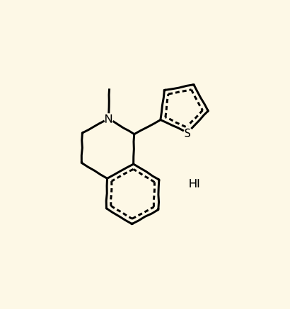 CN1CCc2ccccc2C1c1cccs1.I